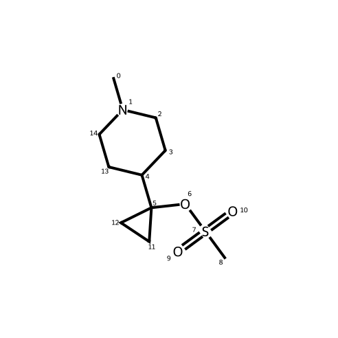 CN1CCC(C2(OS(C)(=O)=O)CC2)CC1